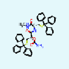 CNC(=O)[C@H](CSC(c1ccccc1)(c1ccccc1)c1ccccc1)NC(=O)[C@H](CSC(c1ccccc1)(c1ccccc1)c1ccccc1)OC(N)=O